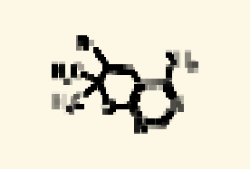 CC1(C)Oc2ncnc(N)c2C=C1Br